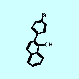 Oc1c(-c2ccc(Br)cc2)ccc2ccccc12